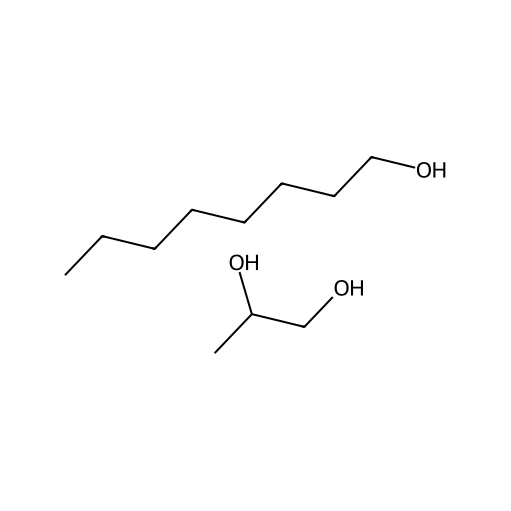 CC(O)CO.CCCCCCCCO